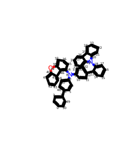 c1ccc(-c2ccc(N(c3ccc(-c4ccccc4-n4c5ccccc5c5ccccc54)cc3)c3cccc4oc5ccccc5c34)cc2)cc1